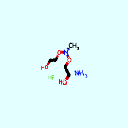 CN(OCCO)OCCO.F.N